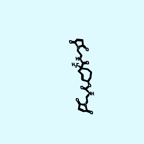 CC1(C(=O)NCCN2C(=O)C=CC2=O)C/C=C/C(OC(=O)NCCN2C(=O)C=CC2=O)CCC1